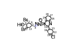 O=C(N/N=C/c1cc(Br)c(O)c(Br)c1)c1cc(-c2ccc(Cl)cc2)nc2ccccc12